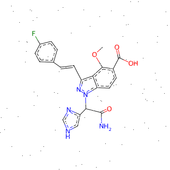 COc1c(C(=O)O)ccc2c1c(C=Cc1ccc(F)cc1)nn2C(C(N)=O)c1c[nH]cn1